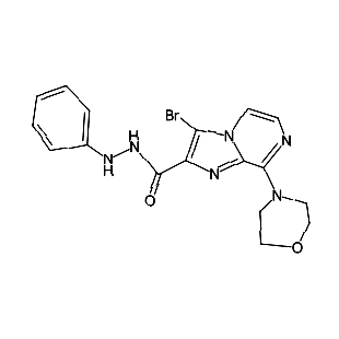 O=C(NNc1ccccc1)c1nc2c(N3CCOCC3)nccn2c1Br